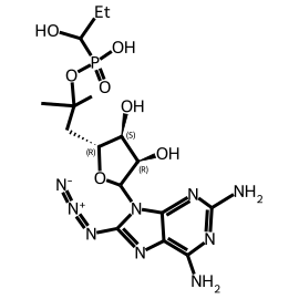 CCC(O)P(=O)(O)OC(C)(C)C[C@H]1OC(n2c(N=[N+]=[N-])nc3c(N)nc(N)nc32)[C@H](O)[C@@H]1O